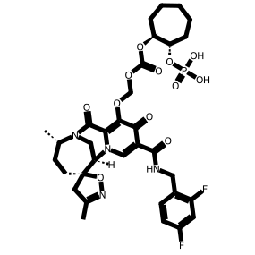 CC1=NO[C@@]2(CC[C@H](C)N3C[C@H]2n2cc(C(=O)NCc4ccc(F)cc4F)c(=O)c(OCOC(=O)O[C@H]4CCCCC[C@@H]4OP(=O)(O)O)c2C3=O)C1